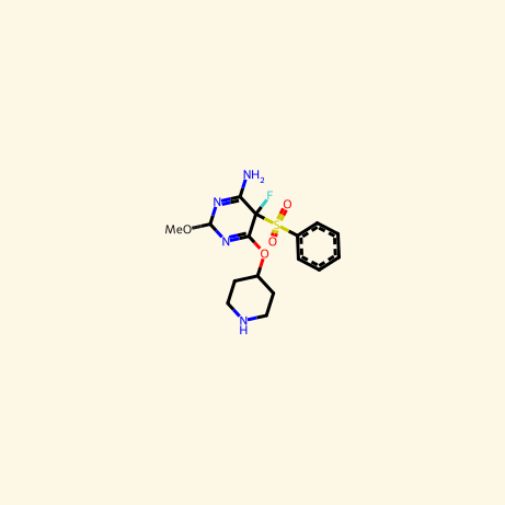 COC1N=C(N)C(F)(S(=O)(=O)c2ccccc2)C(OC2CCNCC2)=N1